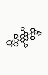 C1=CC23Oc4c(cccc4N(c4ccccc4)c4cc(C5CCCC5)c5ccc6c(N(C7=CCC[C@@H]8C9=C(C=CCC=C9)OC78)c7ccccc7)cc(C7CCCC7)c7ccc4c5c76)C2C3=C1